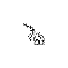 CC(C)(C)C(C)(C)n1cc2c(N3CCC4(CC4)C3)c(NC(=O)c3ccc(=O)n(-c4c(F)cccc4F)n3)ccc2n1